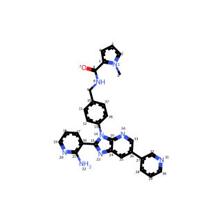 Cn1cccc1C(=O)NCc1ccc(-n2c(-c3cccnc3N)nc3cc(-c4cccnc4)cnc32)cc1